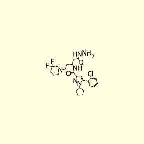 NNC(=O)CC(CCN1CCCC(F)(F)C1)NC(=O)c1cc(-c2ccccc2Cl)n(C2CCCC2)n1